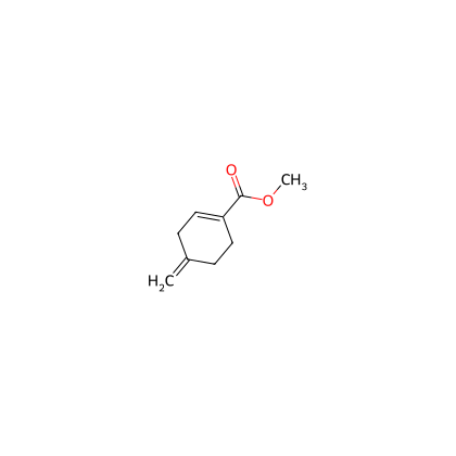 C=C1CC=C(C(=O)OC)CC1